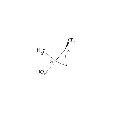 C[C@]1(C(=O)O)C[C@@H]1C(F)(F)F